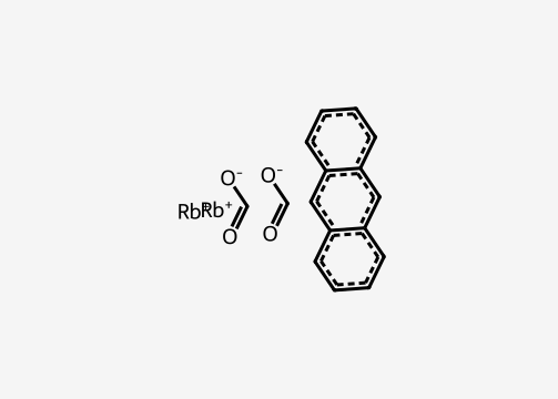 O=C[O-].O=C[O-].[Rb+].[Rb+].c1ccc2cc3ccccc3cc2c1